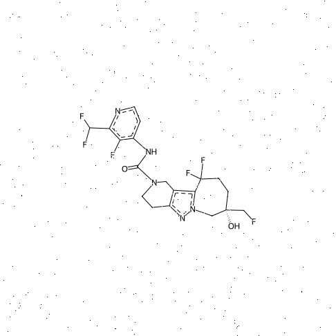 O=C(Nc1ccnc(C(F)F)c1F)N1CCc2nn3c(c2C1)C(F)(F)CC[C@@](O)(CF)C3